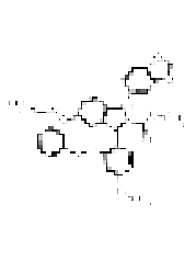 CCCOc1ccc2c(c1)C(c1ccc(OC)cc1OCc1ccccc1)=C(C(=O)OC)[C@H]2c1ccc2c(c1)OCO2